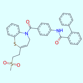 CS(=O)(=O)CCC1=CCN(C(=O)c2ccc(NC(=O)c3ccccc3-c3ccccc3)cc2)c2ccccc2S1